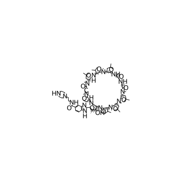 CC[C@@H]1NC(=O)[C@H]([C@H](O)[C@H](C)Cc2nc3cc(C(=O)NCCN4CCNCC4)ccc3[nH]2)N(C)C(=O)[C@H](C(C)C)N(C)C(=O)[C@H](CC(C)C)N(C)C(=O)[C@H](CC(C)C)N(C)C(=O)[C@@H](C)NC(=O)[C@H](C)NC(=O)[C@H](CC(C)C)N(C)C(=O)[C@H](C(C)C)NC(=O)[C@H](CC(C)C)N(C)C(=O)CN(C)C1=O